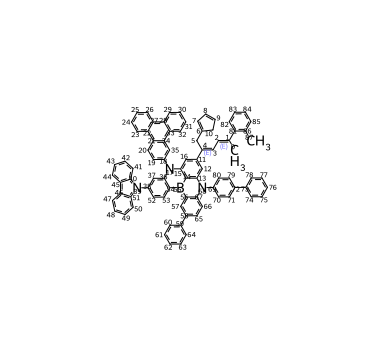 C/C(=C\C=C(/CC1=CC=CC1)c1cc2c3c(c1)N(c1ccc4c5ccccc5c5ccccc5c4c1)c1cc(-n4c5ccccc5c5ccccc54)ccc1B3c1cc(-c3ccccc3)ccc1N2c1ccc(-c2ccccc2)cc1)c1ccccc1C